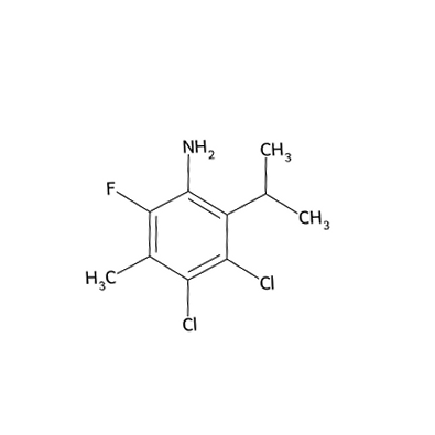 Cc1c(F)c(N)c(C(C)C)c(Cl)c1Cl